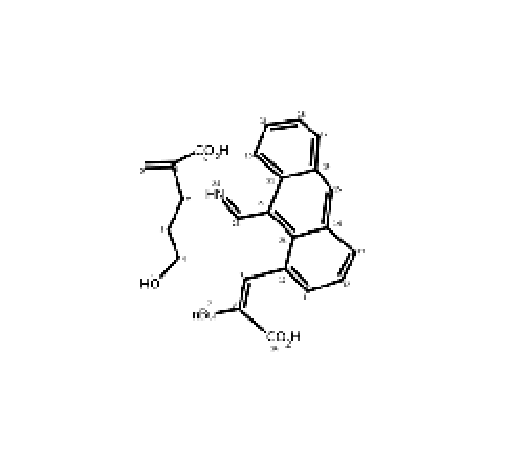 C=C(CCCO)C(=O)O.CCCCC(=Cc1cccc2cc3ccccc3c(C=N)c12)C(=O)O